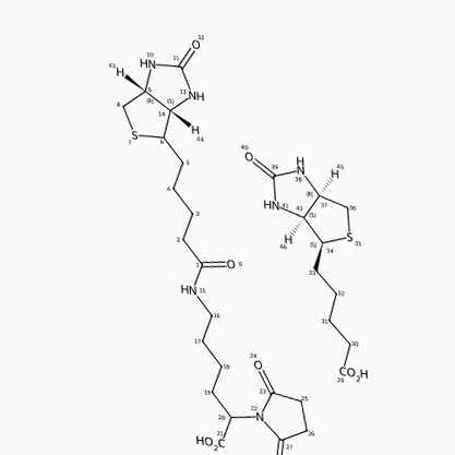 O=C(CCCCC1SC[C@@H]2NC(=O)N[C@H]12)NCCCCC(C(=O)O)N1C(=O)CCC1=O.O=C(O)CCCC[C@@H]1SC[C@@H]2NC(=O)N[C@@H]21